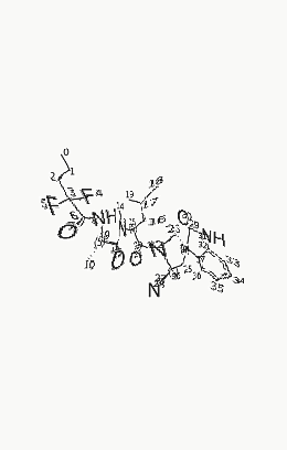 CCCC(F)(F)C(=O)N[C@@H](C)C(=O)N(C)[C@@H](CC(C)C)C(=O)N1C[C@]2(C[C@H]1C#N)C(=O)Nc1ccccc12